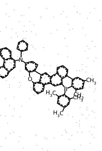 Cc1cc(C)c(B2c3c(C)cc(C)cc3-c3cccc4c3c2cc2c3cccc5c3c(cc42)-c2ccc(N(c3ccccc3)c3cc4ccccc4c4ccccc34)cc2O5)c(C)c1